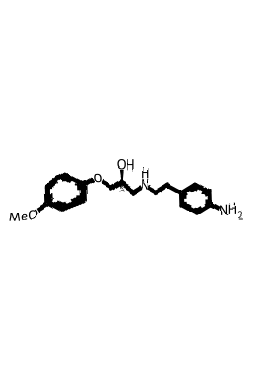 COc1ccc(OC[C@@H](O)CNCCc2ccc(N)cc2)cc1